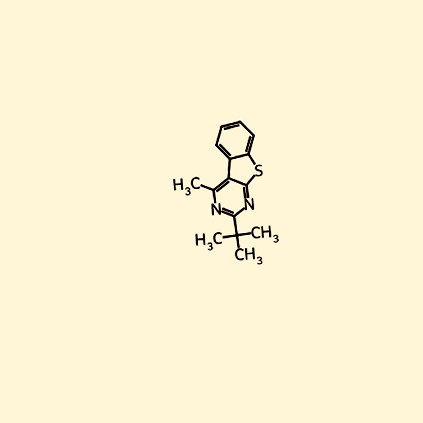 Cc1nc(C(C)(C)C)nc2sc3ccccc3c12